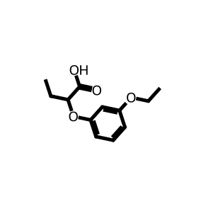 CCOc1cccc(OC(CC)C(=O)O)c1